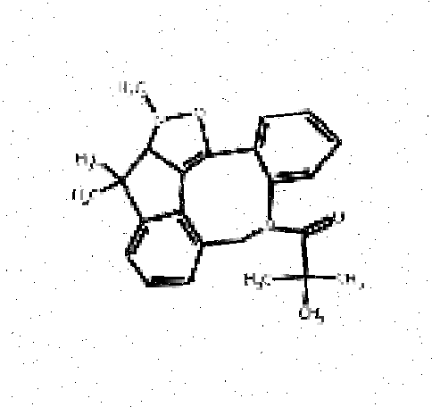 CN1OC2=C3c4c(cccc4C(C)(C)C31)CN(C(=O)C(C)(C)C)c1ccccc12